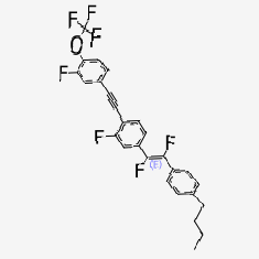 CCCCc1ccc(/C(F)=C(\F)c2ccc(C#Cc3ccc(OC(F)(F)F)c(F)c3)c(F)c2)cc1